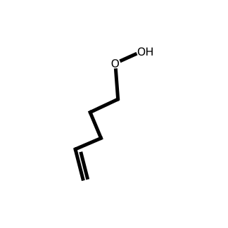 C=CCCCOO